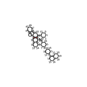 c1ccc(N(c2ccc(-c3ccc(-c4cccc5ccccc45)cc3)cc2)c2cccc3ccccc23)c(-c2ccc3oc4ccccc4c3c2)c1